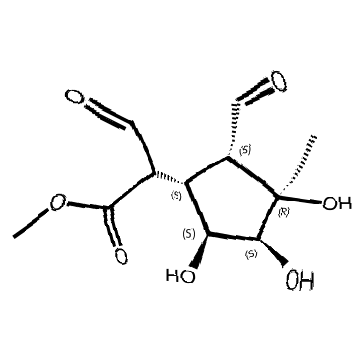 COC(=O)C(C=O)[C@H]1[C@H](O)[C@H](O)[C@](C)(O)[C@H]1C=O